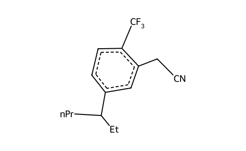 CCCC(CC)c1ccc(C(F)(F)F)c(CC#N)c1